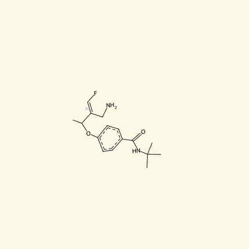 CC(Oc1ccc(C(=O)NC(C)(C)C)cc1)/C(=C/F)CN